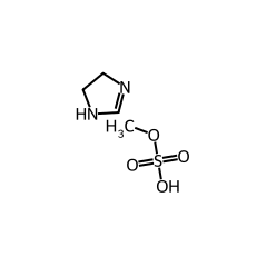 C1=NCCN1.COS(=O)(=O)O